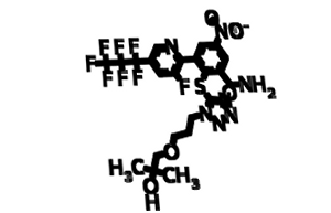 CC(C)(O)COCCCn1nnnc1Sc1c(C(N)=O)cc([N+](=O)[O-])cc1-c1ncc(C(F)(F)C(F)(F)C(F)(F)F)cc1F